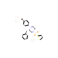 COc1cccc(C[C@@H]2CN(S(=O)(=O)c3cccs3)CCN2c2ccc(C(O)(C(F)(F)F)C(F)(F)F)cc2)c1